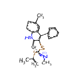 C=C(C)S/C(=N\C)SC1=C(c2ccccc2)c2cc(C)ccc2NC1=C